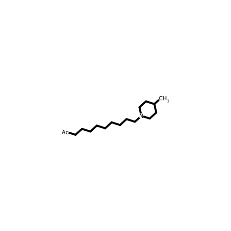 CC(=O)CCCCCCCCCN1CCC(C)CC1